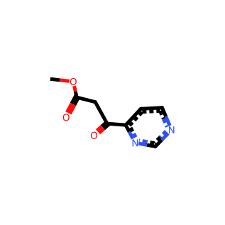 COC(=O)CC(=O)c1ccncn1